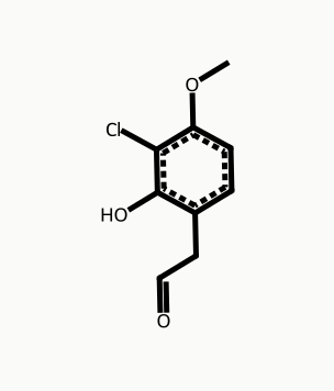 COc1ccc(CC=O)c(O)c1Cl